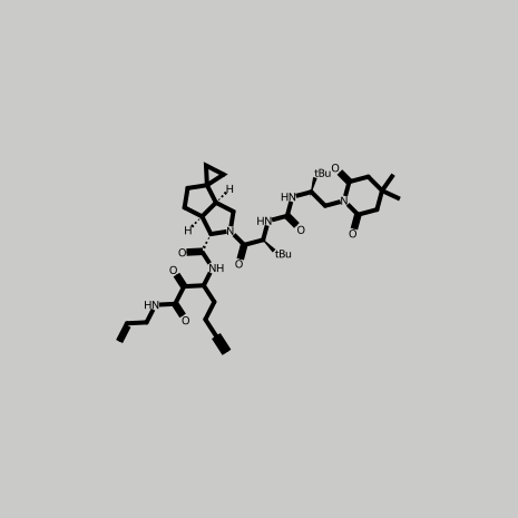 C#CCCC(NC(=O)[C@@H]1[C@H]2CCC3(CC3)[C@H]2CN1C(=O)[C@@H](NC(=O)N[C@H](CN1C(=O)CC(C)(C)CC1=O)C(C)(C)C)C(C)(C)C)C(=O)C(=O)NCC=C